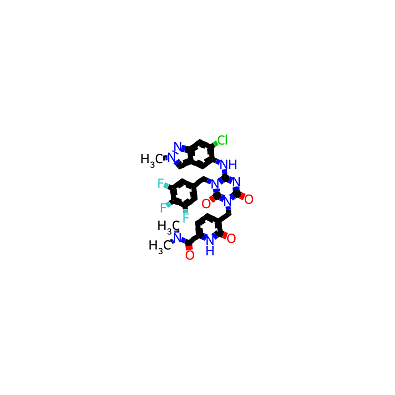 CN(C)C(=O)c1ccc(Cn2c(=O)nc(Nc3cc4cn(C)nc4cc3Cl)n(Cc3cc(F)c(F)c(F)c3)c2=O)c(=O)[nH]1